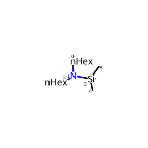 CCCCCCN(CCCCCC)[Si](C)C